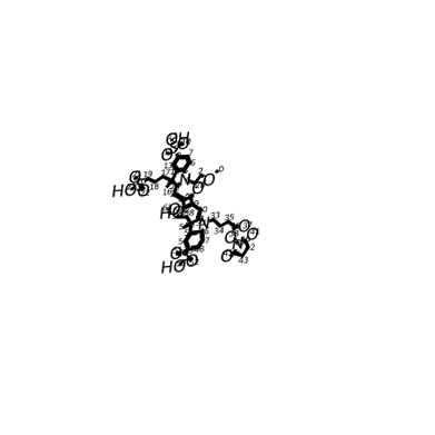 COCCN1c2ccc(S(=O)(=O)O)cc2C(C)(CCCS(=O)(=O)O)C1/C=C1\C(=O)C(/C=C2/N(CCCC(=O)ON3C(=O)CCC3=O)c3ccc(S(=O)(=O)O)cc3C2(C)CCOC)=C1O